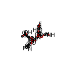 O=C(N[C@H]1CC[C@@H](n2c(=O)c3cc(F)cnc3n(-c3cccc(-c4ccc(CN5CCN(C(=O)O)C(Cc6ccccc6)C5)cc4Br)c3)c2=O)CC1)c1cn2cc(F)ccc2n1.O=C(N[C@H]1CC[C@@H](n2c(=O)c3cc(F)cnc3n(-c3cccc(-c4ccc(CN5CCNCC5)cc4Br)c3)c2=O)CC1)c1cn2cc(F)ccc2n1